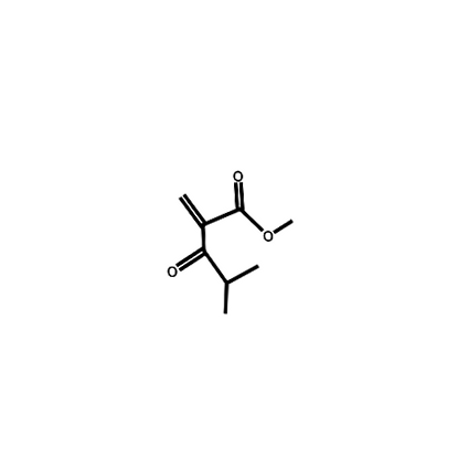 C=C(C(=O)OC)C(=O)C(C)C